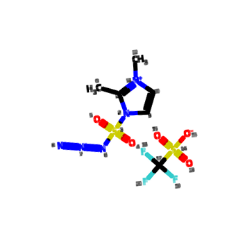 Cc1n(S(=O)(=O)N=[N+]=[N-])cc[n+]1C.O=S(=O)([O-])C(F)(F)F